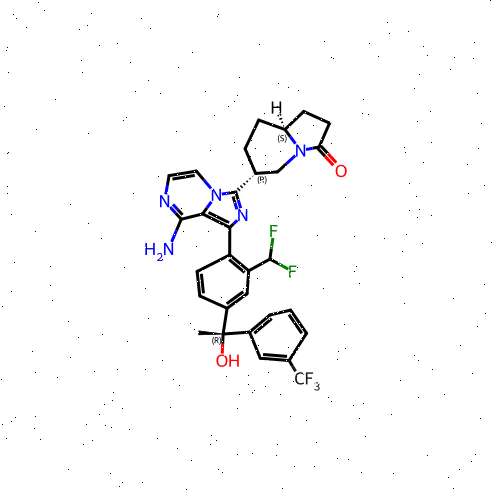 C[C@](O)(c1cccc(C(F)(F)F)c1)c1ccc(-c2nc([C@@H]3CC[C@H]4CCC(=O)N4C3)n3ccnc(N)c23)c(C(F)F)c1